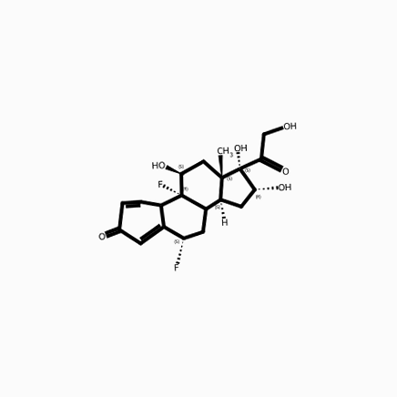 C[C@]12C[C@H](O)[C@]3(F)C4C=CC(=O)C=C4[C@@H](F)CC3[C@@H]1C[C@@H](O)[C@]2(O)C(=O)CO